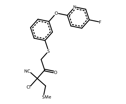 CSCC(Cl)(C#N)C(=O)CSc1cccc(Oc2ccc(F)cn2)c1